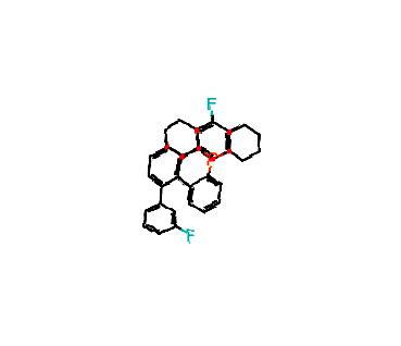 Fc1cccc(-c2cccc(-c3cccc(F)c3)c2-c2ccccc2P(C2CCCCC2)C2CCCCC2)c1